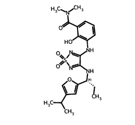 CC[C@@H](NC1=NS(=O)(=O)N=C1Nc1cccc(C(=O)N(C)C)c1O)c1cc(C(C)C)co1